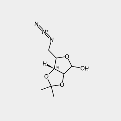 CC1(C)OC2C(O)OC(CN=[N+]=[N-])[C@H]2O1